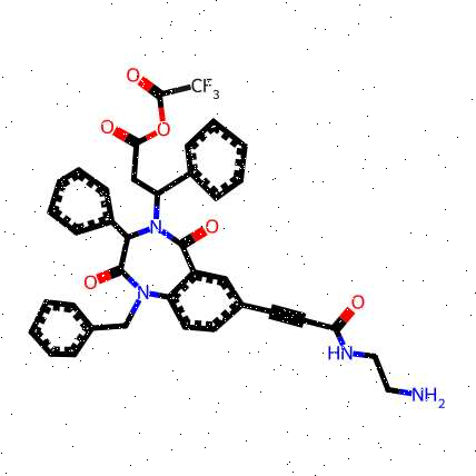 NCCNC(=O)C#Cc1ccc2c(c1)C(=O)N(C(CC(=O)OC(=O)C(F)(F)F)c1ccccc1)C(c1ccccc1)C(=O)N2Cc1ccccc1